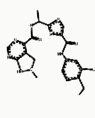 CC(NC(=O)c1ncnc2c1CN(C)N2)c1ncc(C(=O)Nc2ccc(CF)c(Cl)c2)s1